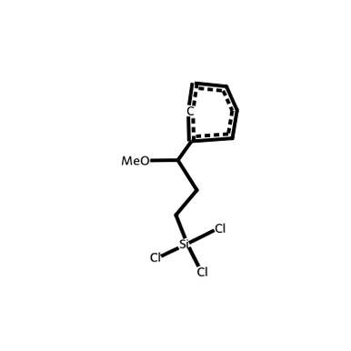 COC(CC[Si](Cl)(Cl)Cl)c1ccccc1